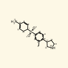 Cc1cc(S(=O)(=O)C2C=CC(N)=CC2)ccc1C1CCNC1